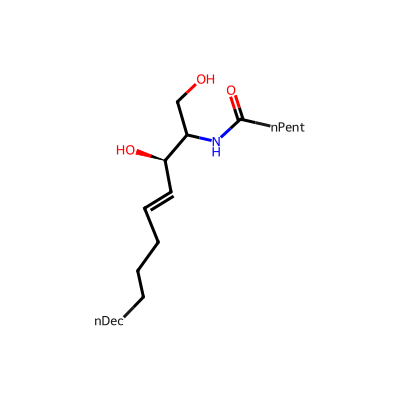 CCCCCCCCCCCCC/C=C/[C@@H](O)C(CO)NC(=O)CCCCC